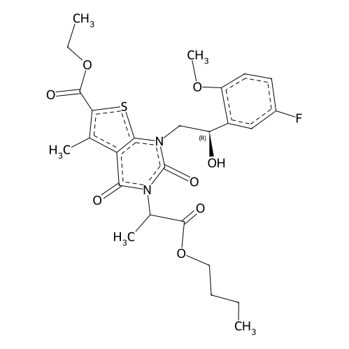 CCCCOC(=O)C(C)n1c(=O)c2c(C)c(C(=O)OCC)sc2n(C[C@H](O)c2cc(F)ccc2OC)c1=O